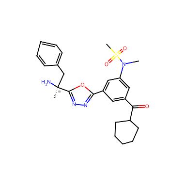 CN(c1cc(C(=O)C2CCCCC2)cc(-c2nnc([C@@](C)(N)Cc3ccccc3)o2)c1)S(C)(=O)=O